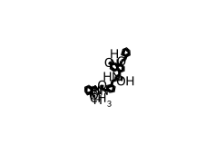 COc1ccccc1CNC(=O)Nc1cccc(CCN[C@H](CO)c2ccc(OCc3ccccc3)c3[nH]c(=O)ccc23)c1